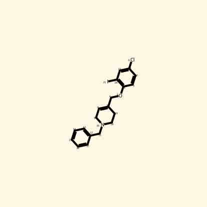 Clc1ccc(OCC2=CCN(Cc3ccccc3)CC2)c(I)c1